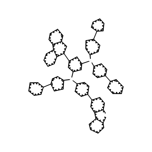 c1ccc(-c2ccc(N(c3ccc(-c4ccccc4)cc3)c3cc(-c4cc5ccccc5c5ccccc45)cc(N(c4ccc(-c5ccccc5)cc4)c4ccc(-c5ccc6oc7ccccc7c6c5)cc4)c3)cc2)cc1